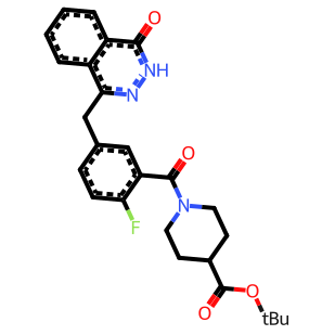 CC(C)(C)OC(=O)C1CCN(C(=O)c2cc(Cc3n[nH]c(=O)c4ccccc34)ccc2F)CC1